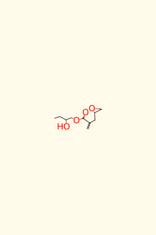 C=C(CC1CO1)C(=O)OCC(O)CC